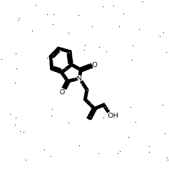 C=C(CO)CCN1C(=O)c2ccccc2C1=O